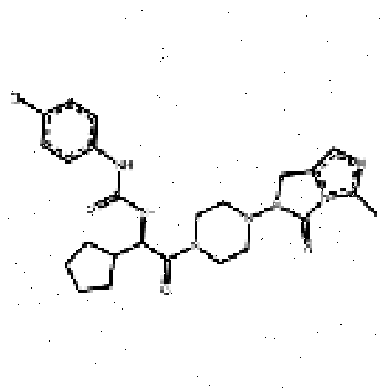 Cc1ncc2n1C(=O)N(N1CCN(C(=O)C(NC(=O)Nc3ccc(Cl)cc3)C3CCCC3)CC1)C2